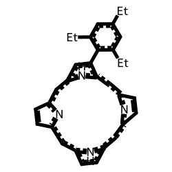 CCc1cc(CC)c(-c2cc3cc4nc(cc5ccc(cc6nc(cc2[nH]3)C=C6)[nH]5)C=C4)c(CC)c1